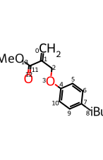 C=C(COc1ccc(C(C)CC)cc1)C(=O)OC